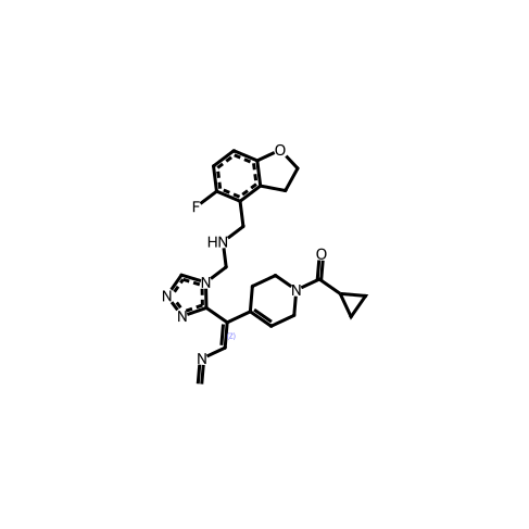 C=N/C=C(/C1=CCN(C(=O)C2CC2)CC1)c1nncn1CNCc1c(F)ccc2c1CCO2